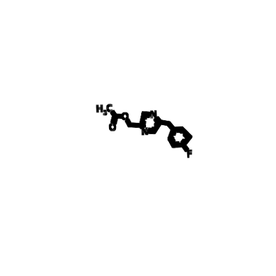 CC(=O)OCc1cnc(Cc2ccc(F)cc2)cn1